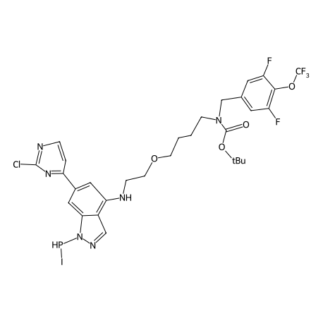 CC(C)(C)OC(=O)N(CCCCOCCNc1cc(-c2ccnc(Cl)n2)cc2c1cnn2PI)Cc1cc(F)c(OC(F)(F)F)c(F)c1